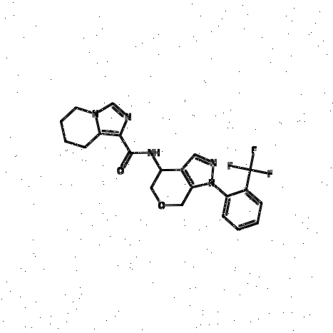 O=C(NC1COCc2c1cnn2-c1ccccc1C(F)(F)F)c1ncn2c1CCCC2